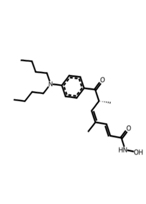 CCCCN(CCCC)c1ccc(C(=O)[C@H](C)C=C(C)C=CC(=O)NO)cc1